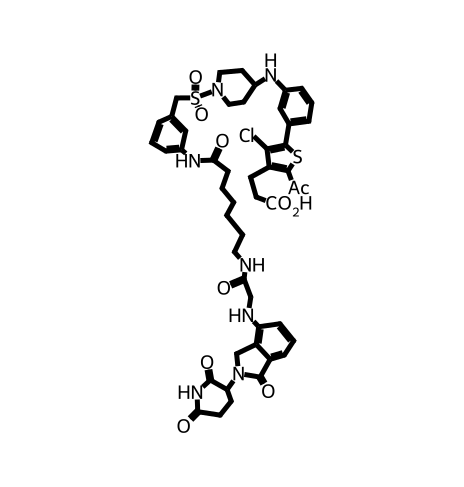 CC(=O)c1sc(-c2cccc(NC3CCN(S(=O)(=O)Cc4cccc(NC(=O)CCCCCCNC(=O)CNc5cccc6c5CN(C5CCC(=O)NC5=O)C6=O)c4)CC3)c2)c(Cl)c1CCC(=O)O